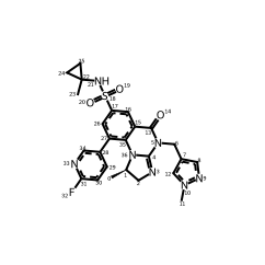 C[C@@H]1CN=C2N(Cc3cnn(C)c3)C(=O)c3cc(S(=O)(=O)NC4(C)CC4)cc(-c4ccc(F)nc4)c3N21